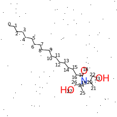 CCCCCCCCCCCCCCCCCC(=O)N(C(C)CO)C(C)CO